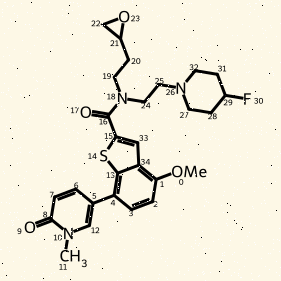 COc1ccc(-c2ccc(=O)n(C)c2)c2sc(C(=O)N(CCC3CO3)CCN3CCC(F)CC3)cc12